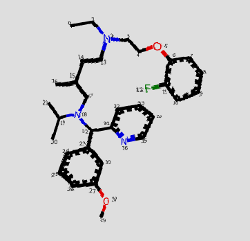 CCN(CCOc1ccccc1F)CCC(C)CN(C(C)C)C(c1cccc(OC)c1)c1ccccn1